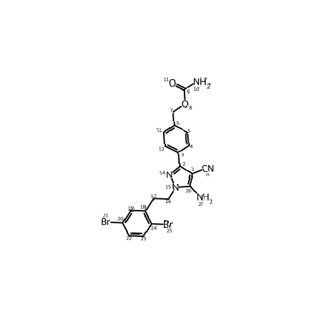 N#Cc1c(-c2ccc(COC(N)=O)cc2)nn(CCc2cc(Br)ccc2Br)c1N